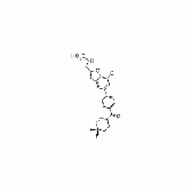 O=C(O)NCC1Cc2cc(-c3ccc(C(=O)N4CCC(F)(F)CC4)cc3)cc(Cl)c2O1